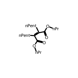 CCCCC/C(C(=O)OCCC)=C(\CCCCC)C(=O)OCCC